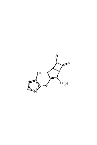 CC(C)C1C(=O)N2C(C(=O)O)=C(Sc3nnnn3C)CC12